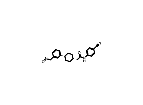 N#Cc1ccc(NC(=O)C[C@H]2CC[C@@H](c3cccc(CN=O)c3)CC2)cc1